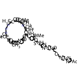 CO[C@H]1C[C@@H]2CC[C@@H](C)[C@@](O)(O2)C(=O)C(=O)N2CCCC[C@H]2C(=O)O[C@H]([C@H](N)C[C@@H]2CC[C@@H](OC(=S)NCc3cnc(N4CCN(C(=O)CCOCCN5CCN(c6ncc(C(C)=O)cn6)CC5)CC4)nc3)[C@H](OC)C2)C[C@@H](O)[C@H](C)/C=C(\C)[C@@H](O)[C@@H](OC)C(=O)[C@H](C)C[C@H](C)/C=C/C=C/C=C/1C